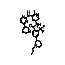 CCCN1CCCC(c2ccc(C(=O)Nc3cnc(C)c(Nc4nccc(-c5cccnc5)n4)c3)c(C(F)(F)F)c2)C1